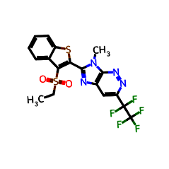 CCS(=O)(=O)c1c(-c2nc3cc(C(F)(F)C(F)(F)F)nnc3n2C)sc2ccccc12